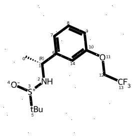 C[C@@H](N[S+]([O-])C(C)(C)C)c1cccc(OCC(F)(F)F)c1